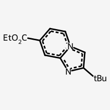 CCOC(=O)c1ccn2cc(C(C)(C)C)nc2c1